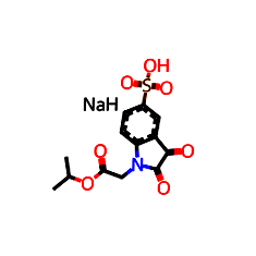 CC(C)OC(=O)CN1C(=O)C(=O)c2cc(S(=O)(=O)O)ccc21.[NaH]